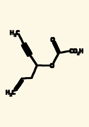 C=CCC(C#CC)OC(=O)C(=O)O